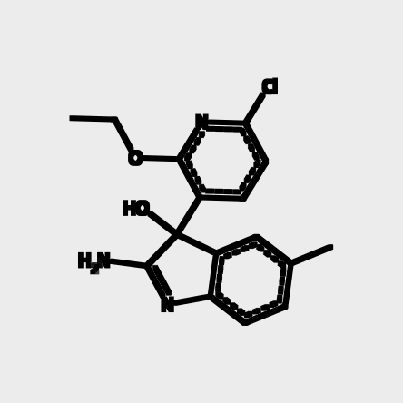 CCOc1nc(Cl)ccc1C1(O)C(N)=Nc2ccc(C)cc21